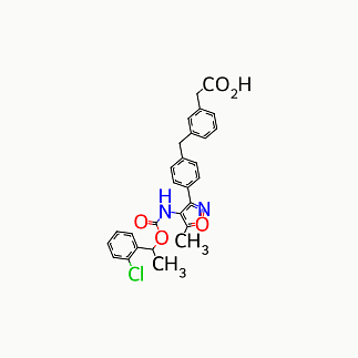 Cc1onc(-c2ccc(Cc3cccc(CC(=O)O)c3)cc2)c1NC(=O)OC(C)c1ccccc1Cl